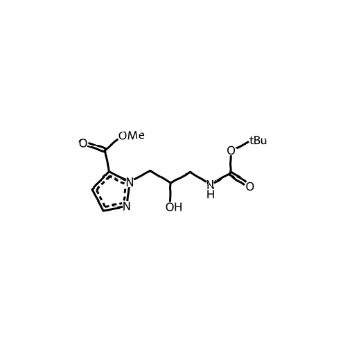 COC(=O)c1ccnn1CC(O)CNC(=O)OC(C)(C)C